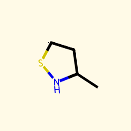 CC1C[CH]SN1